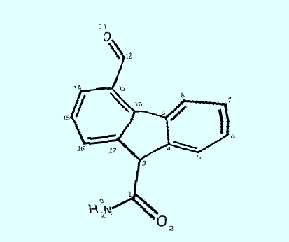 NC(=O)C1c2ccccc2-c2c(C=O)cccc21